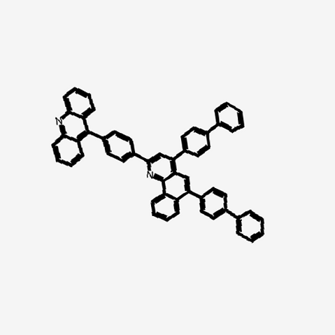 c1ccc(-c2ccc(-c3cc4c(-c5ccc(-c6ccccc6)cc5)cc(-c5ccc(-c6c7ccccc7nc7ccccc67)cc5)nc4c4ccccc34)cc2)cc1